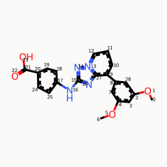 COc1cc(OC)cc(-c2cccn3nc(Nc4ccc(C(=O)O)cc4)nc23)c1